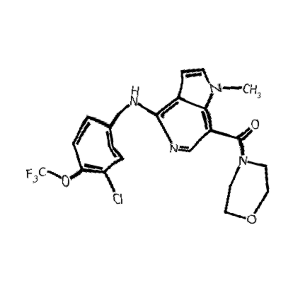 Cn1ccc2c(Nc3ccc(OC(F)(F)F)c(Cl)c3)ncc(C(=O)N3CCOCC3)c21